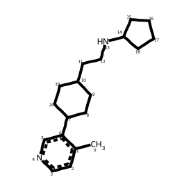 Cc1ccncc1C1CCC(CCNC2CCCC2)CC1